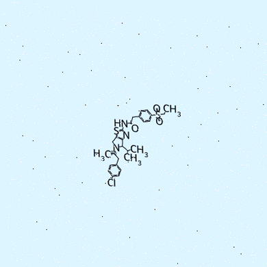 CCS(=O)(=O)c1ccc(CC(=O)Nc2nc3c(s2)CN([C@H](C)Cc2ccc(Cl)cc2)C3C(C)C)cc1